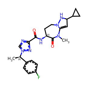 C[C@H](c1ccc(F)cc1)n1cnc(C(=O)N[C@H]2CCN3NC(C4CC4)C=C3N(C)C2=O)n1